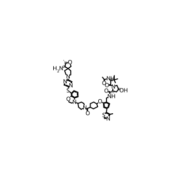 CC(=O)N[C@H](C(=O)N1C[C@H](O)C[C@H]1C(=O)NCc1ccc(-c2scnc2C)cc1OC1CCC(C(=O)N2CCC(N3CCOc4c(Sc5cnc(N6CCC7(CC6)CO[C@@H](C)[C@H]7N)cn5)cccc43)CC2)CC1)C(C)(C)C